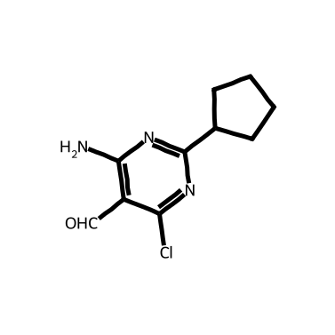 Nc1nc(C2CCCC2)nc(Cl)c1C=O